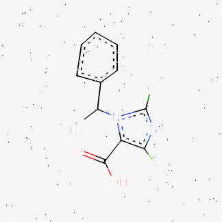 CC(c1ccccc1)n1c(Cl)nc(F)c1C(=O)O.[Ag]